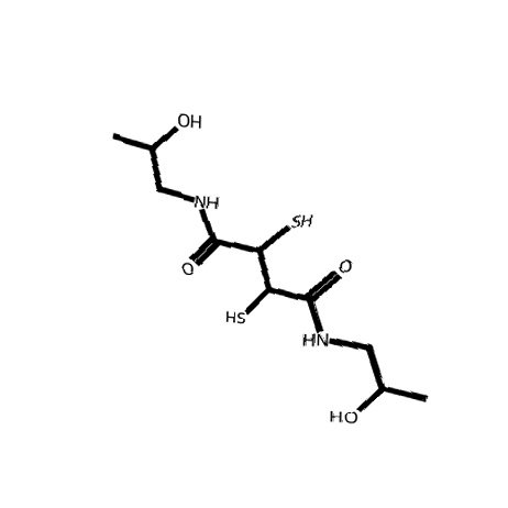 CC(O)CNC(=O)C(S)C(S)C(=O)NCC(C)O